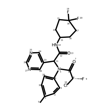 Cc1ccc(N(C(=O)[C@H](F)Cl)C(C(=O)NC2CCC(F)(F)CC2)c2cncnc2)cc1